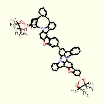 Cc1c2cc(B3OC(C)(C)C(C)(C)O3)cc1-n1c3ccc4oc5cc(-c6cc7c8ccccc8n8c9cc%10c%11ccc(B%12OC(C)(C)C(C)(C)O%12)cc%11oc%10c%10c%11ccccc%11n(c(c6)c78)c%109)ccc5c4c3c3cccc(c31)Cc1ccccc1-2